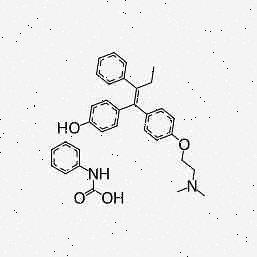 CCC(=C(c1ccc(O)cc1)c1ccc(OCCN(C)C)cc1)c1ccccc1.O=C(O)Nc1ccccc1